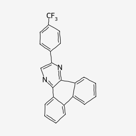 FC(F)(F)c1ccc(-c2cnc3c4ccccc4c4ccccc4c3n2)cc1